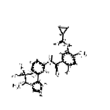 Cc1cc(F)c(C(=O)Nc2cccc(-c3nncn3[C@@H](C)C(F)(F)F)n2)cc1NC(=O)C1CC1